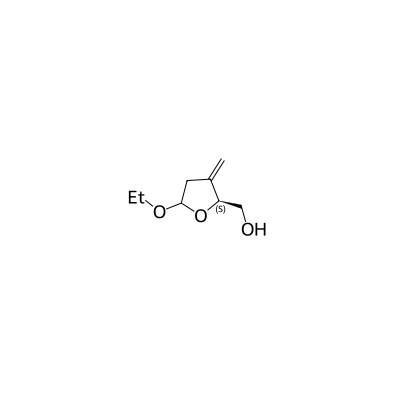 C=C1CC(OCC)O[C@@H]1CO